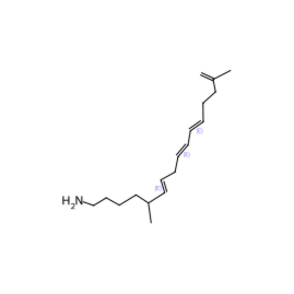 C=C(C)CC/C=C/C=C/C/C=C/C(C)CCCCN